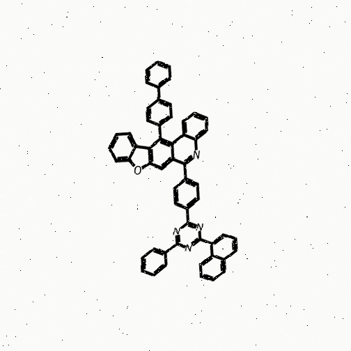 c1ccc(-c2ccc(-c3c4c(cc5c(-c6ccc(-c7nc(-c8ccccc8)nc(-c8cccc9ccccc89)n7)cc6)nc6ccccc6c35)oc3ccccc34)cc2)cc1